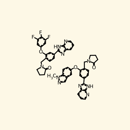 Cn1ncc2cc(Oc3cc(-c4nc5cccnc5[nH]4)ccc3CN3CCCC3=O)ccc21.O=C1CCCN1Cc1ccc(-c2nc3cccnc3[nH]2)cc1Oc1cc(F)c(F)c(F)c1